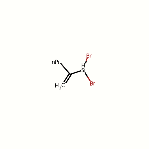 C=C(CCC)[SiH](Br)Br